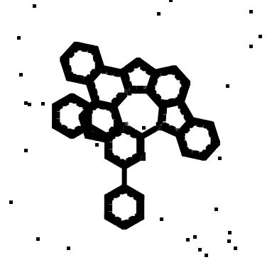 c1ccc(-c2cc(-c3ccccc3)nc(-n3c4ccccc4c4ccc5cc6c7ccccc7c7ccccc7n6c5c43)n2)cc1